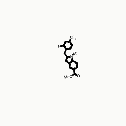 CCn1c(Cc2ccc(C(F)(F)F)cc2F)cc2cc(C(=O)OC)ccc21